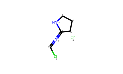 ClC=[N+]=C1CCCN1.[Cl-]